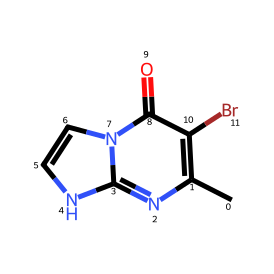 Cc1nc2[nH]ccn2c(=O)c1Br